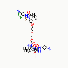 CC(C)(C)[C@H](NC(=O)COCCCOCCCCCOc1ccc(N2C(=S)N(c3ccc(C#N)c(C(F)(F)F)c3)C(=O)C2(C)C)cc1)C(=O)N1C[C@H](O)C[C@H]1C(=O)NCc1ccc(C#N)cc1